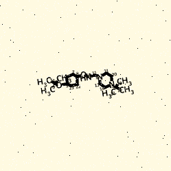 CC(C)(C)OC1CCC(ONCN2CCN(C(C)(C)C)CC2)CC1